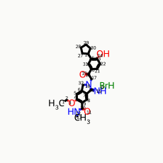 Br.CCOc1cc2c(cc1C(=O)NC)C(=N)N(CC(=O)c1ccc(O)c(C3CCCC3)c1)C2